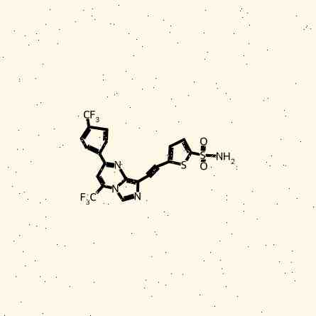 NS(=O)(=O)c1ccc(C#Cc2ncn3c(C(F)(F)F)cc(-c4ccc(C(F)(F)F)cc4)nc23)s1